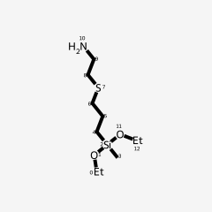 CCO[Si](C)(CCCSCCN)OCC